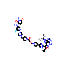 CC(C)n1nc(-c2noc(C3CC3)c2-c2ncc(C3CCN(C(=O)OCC(=O)N4CCC(CN5CCN(c6ncc(NC7CCC(=O)NC7=O)cc6F)CC5)CC4)CC3)cn2)c2c(N)ncnc21